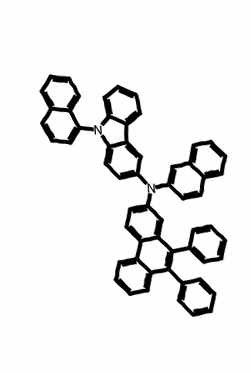 c1ccc(-c2c(-c3ccccc3)c3cc(N(c4ccc5ccccc5c4)c4ccc5c(c4)c4ccccc4n5-c4cccc5ccccc45)ccc3c3ccccc23)cc1